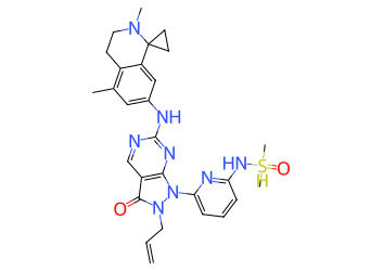 C=CCn1c(=O)c2cnc(Nc3cc(C)c4c(c3)C3(CC3)N(C)CC4)nc2n1-c1cccc(N[SH](C)(C)=O)n1